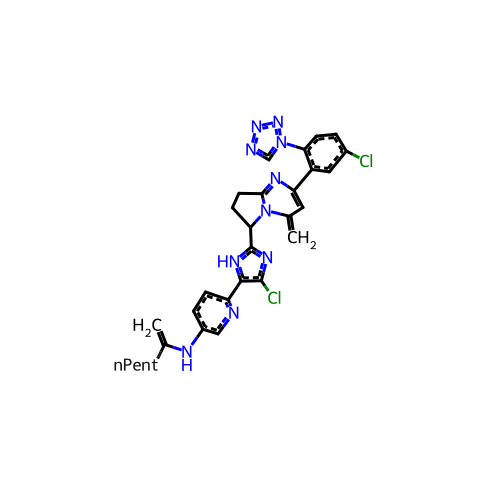 C=C(CCCCC)Nc1ccc(-c2[nH]c(C3CCC4=NC(c5cc(Cl)ccc5-n5cnnn5)=CC(=C)N43)nc2Cl)nc1